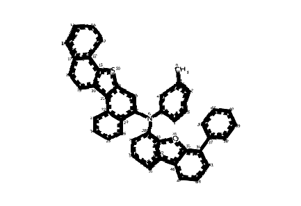 Cc1cccc(N(c2cc3sc4c5ccccc5ccc4c3c3ccccc23)c2cccc3c2oc2c(-c4ccccc4)cccc23)c1